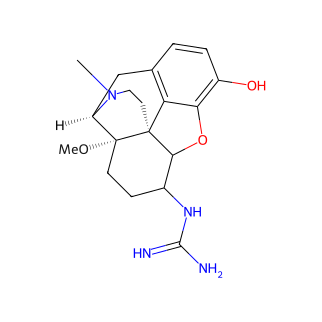 CO[C@@]12CCC(NC(=N)N)C3Oc4c(O)ccc5c4[C@@]31CCN(C)[C@@H]2C5